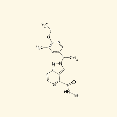 CCNC(=O)c1nccc2nn(C(C)c3cnc(OCC(F)(F)F)c(C)c3)cc12